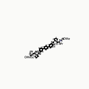 COO/C=N/[C@H](C(=O)N1CCC[C@H]1c1nc2cc(-c3ccc(-c4ccc5[nH]c([C@@H]6CCCN6C(=O)[C@H](NC(=O)OC)C(C)C)nc5c4)cc3)ccc2[nH]1)C(C)C